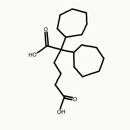 O=C(O)CCCC(C(=O)O)(C1CCCCCC1)C1CCCCCC1